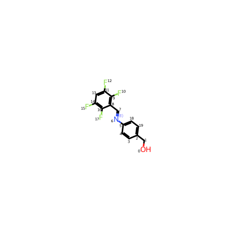 OCc1ccc(/N=C/c2c(F)c(F)cc(F)c2F)cc1